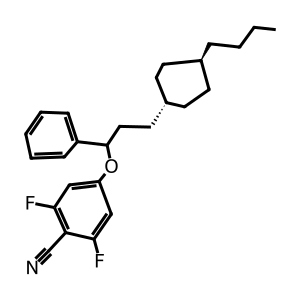 CCCC[C@H]1CC[C@H](CCC(Oc2cc(F)c(C#N)c(F)c2)c2ccccc2)CC1